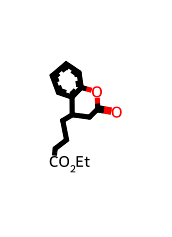 CCOC(=O)CCCC1CC(=O)Oc2ccccc21